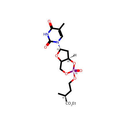 CCOC(=O)[C@@H](C)CCO[P@@]1(=O)OCC2O[C@H](n3cc(C)c(=O)[nH]c3=O)C[C@H]2O1